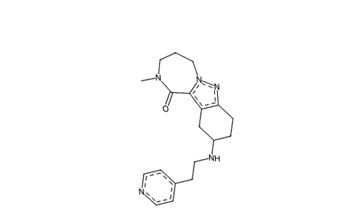 CN1CCCn2nc3c(c2C1=O)CC(NCCc1ccncc1)CC3